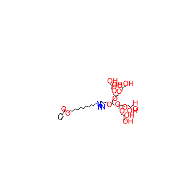 O=C(OCCCCCCCCCCCn1cc(COC(COC(COCC(O)CO)COCC(O)CO)COC(COCC(O)CO)COCC(O)CO)nn1)c1ccccc1